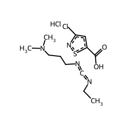 CCN=C=NCCCN(C)C.Cl.O=C(O)c1cc(Cl)ns1